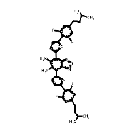 CC(C)CCc1cc(F)c(-c2ccc(-c3c(N)c(N)c(-c4ccc(-c5c(F)cc(CCC(C)C)cc5F)s4)c4nsnc34)s2)c(F)c1